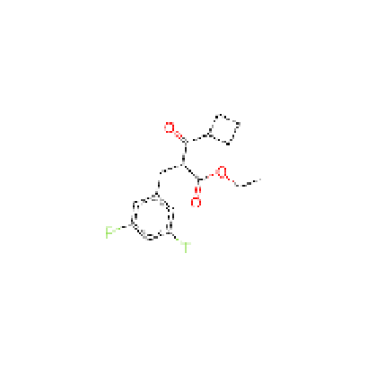 CCOC(=O)C(Cc1cc(F)cc(F)c1)C(=O)C1CCC1